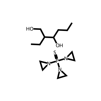 CCCC(O)C(CC)CO.S=P(N1CC1)(N1CC1)N1CC1